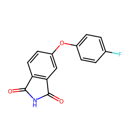 O=C1NC(=O)c2cc(Oc3ccc(F)cc3)ccc21